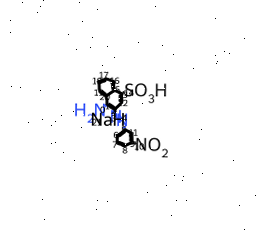 Nc1c(N=Nc2cccc([N+](=O)[O-])c2)cc(S(=O)(=O)O)c2ccccc12.[NaH]